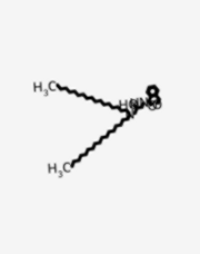 CCCCCCCCCCCCCCCCCCN(CCCCCCCCCCCCCCCCCC)CC(O)CNC(=O)c1ccccc1C=O